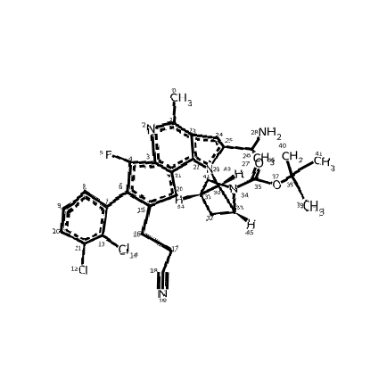 Cc1nc2c(F)c(-c3cccc(Cl)c3Cl)c(CCC#N)cc2c2c1cc([C@@H](C)N)n2[C@H]1[C@@H]2C[C@H]1N(C(=O)OC(C)(C)C)C2